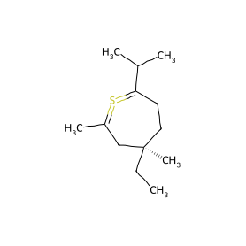 CC[C@]1(C)CCC(C(C)C)=S=C(C)C1